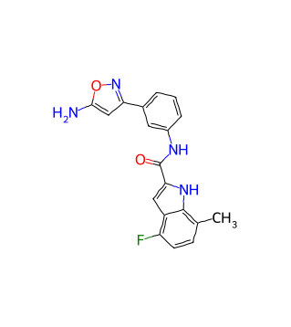 Cc1ccc(F)c2cc(C(=O)Nc3cccc(-c4cc(N)on4)c3)[nH]c12